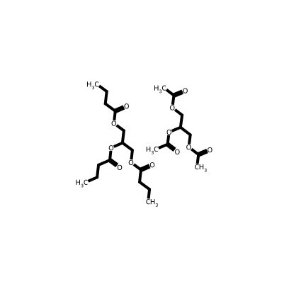 CC(=O)OCC(COC(C)=O)OC(C)=O.CCCC(=O)OCC(COC(=O)CCC)OC(=O)CCC